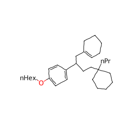 CCCCCCOc1ccc(C(CCC2(CCC)CCCCC2)CC2=CCCCC2)cc1